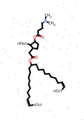 CCCCCCCC/C=C\CCCCCCCCC(CCCCCCCC/C=C\CCCCCCCC)OC(=O)CC1CCC(OC(=O)CCCN(C)C)C1CCCCC